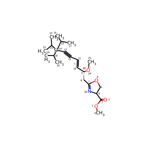 COC(=O)C1COC(C[C@H](/C=C/C#C[Si](C(C)C)(C(C)C)C(C)C)OC)=N1